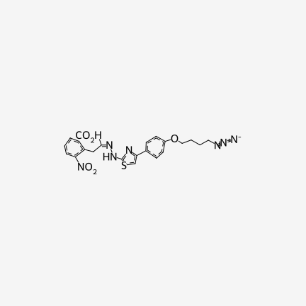 [N-]=[N+]=NCCCCOc1ccc(-c2csc(NN=C(Cc3ccccc3[N+](=O)[O-])C(=O)O)n2)cc1